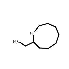 CCC1CCCCCCCP1